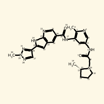 Cc1ncc(NC(=O)CN2CCC[C@@H]2C)cc1NC(=O)c1cnc2[nH]c(-c3cnn(C)n3)cc2c1